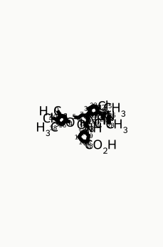 Cc1cc(OCCCc2c(C(=O)N[C@@H]3CCC[C@@H](C(=O)O)C3)[nH]c3c(-c4c(C)nn(C)c4C)c(Cl)ccc23)cc(C)c1Cl